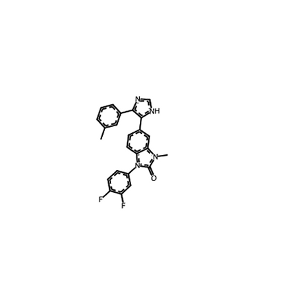 Cc1cccc(-c2nc[nH]c2-c2ccc3c(c2)n(C)c(=O)n3-c2ccc(F)c(F)c2)c1